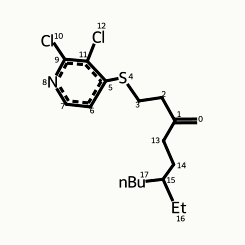 C=C(CCSc1ccnc(Cl)c1Cl)CCC(CC)CCCC